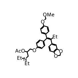 CC/C(=C(\c1ccc(OCOC)cc1)c1ccc(OCC(CN(CC)CC)OC(C)=O)cc1)c1ccc2c(c1)OCO2